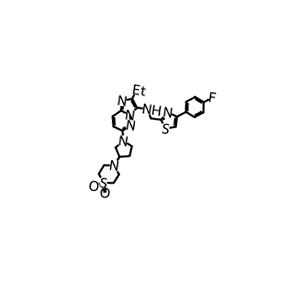 CCc1nc2ccc(N3CCC(N4CCS(=O)(=O)CC4)C3)nn2c1NCc1nc(-c2ccc(F)cc2)cs1